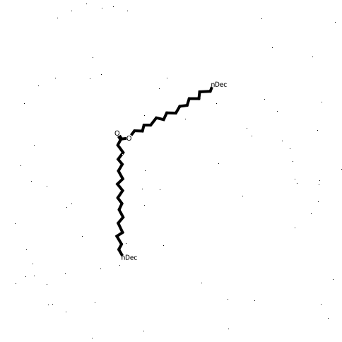 CCCCCCCCCCCCCCCCCCCCCCCCCCCC(=O)OCCCCCCCCCCCCCCCCCCCCCCCC